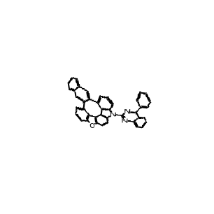 c1ccc(-c2nc(-n3c4cccc5c6cc7ccccc7cc6c6cccc7oc8ccc3c(c8c76)c54)nc3ccccc23)cc1